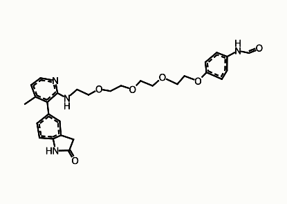 Cc1ccnc(NCCOCCOCCOCCOc2ccc(NC=O)cc2)c1-c1ccc2c(c1)CC(=O)N2